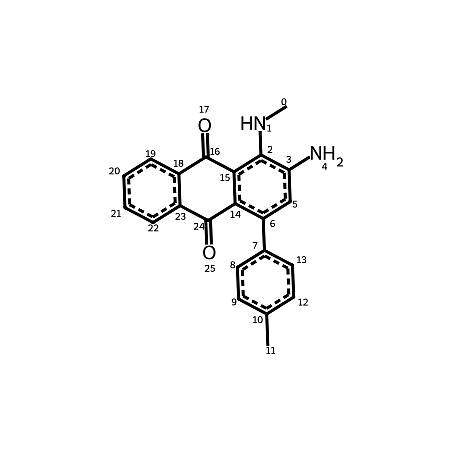 CNc1c(N)cc(-c2ccc(C)cc2)c2c1C(=O)c1ccccc1C2=O